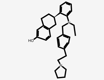 CCN(Cc1ccc(CCN2CCCC2)cc1)c1ccccc1[C@@H]1CCc2cc(O)ccc2C1